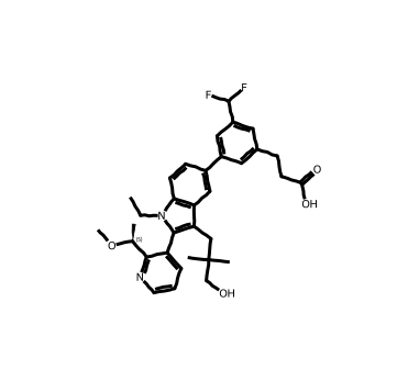 CCn1c(-c2cccnc2[C@H](C)OC)c(CC(C)(C)CO)c2cc(-c3cc(CCC(=O)O)cc(C(F)F)c3)ccc21